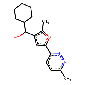 Cc1ccc(-c2cc(C(O)C3CCCCC3)c(C)o2)nn1